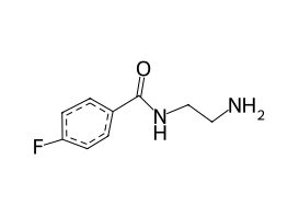 NCCNC(=O)c1ccc(F)cc1